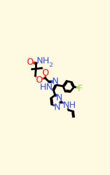 C=CCNc1nccc(-c2[nH]c(C3OCC(C)(C(N)=O)CO3)nc2-c2ccc(F)cc2)n1